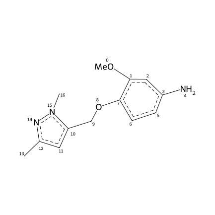 COc1cc(N)ccc1OCc1cc(C)nn1C